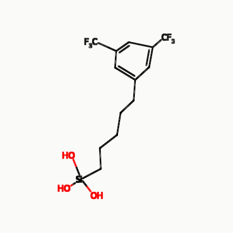 O[Si](O)(O)CCCCCc1cc(C(F)(F)F)cc(C(F)(F)F)c1